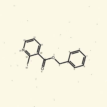 O=C(OCc1ccccc1)c1cccnc1I